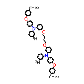 [3H]c1cccc(N(c2ccc(Oc3ccc(CCCCCC)cc3)cc2)c2cccc(OCCCCOc3cccc(N(c4ccc(Oc5ccc(CCCCCC)cc5)cc4)c4cccc([3H])c4)c3)c2)c1